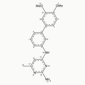 COc1ccc(-c2cccc(Nc3cc(C)nc(N)n3)c2)cc1OC